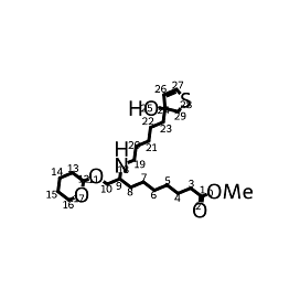 COC(=O)CCCCCCC(COC1CCCCO1)NCCCCCC1(O)C=CSC1